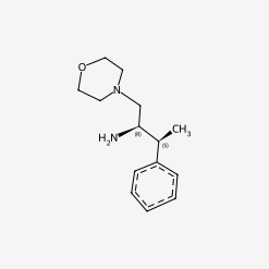 C[C@@H](c1ccccc1)[C@@H](N)CN1CCOCC1